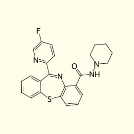 O=C(NN1CCCCC1)c1cccc2c1N=C(c1ccc(F)cn1)c1ccccc1S2